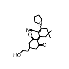 CC1(C)CC(=C2C(=O)CC(CCO)CC2=O)C(C#N)=C(N2CCCC2)C1